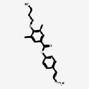 Cc1cc(C(=O)Oc2ccc(/C=C/C(=O)O)cc2)cc(C)c1OCCCC#N